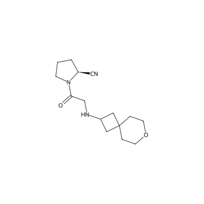 N#C[C@@H]1CCCN1C(=O)CNC1CC2(CCOCC2)C1